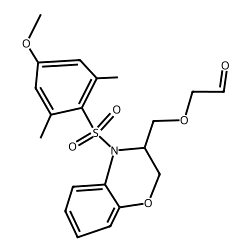 COc1cc(C)c(S(=O)(=O)N2c3ccccc3OCC2COCC=O)c(C)c1